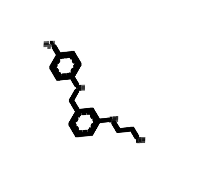 Nc1ccc(NCc2cccc(NCCO)c2)cc1